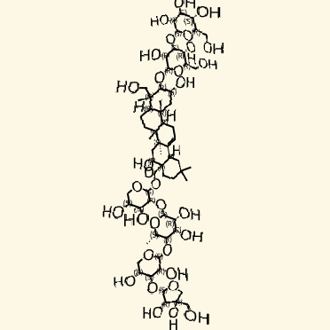 C[C@@H]1O[C@@H](O[C@H]2[C@H](OC(=O)[C@]34CCC(C)(C)C[C@H]3C3=CC[C@@H]5[C@@]6(C)C[C@H](O)[C@H](O[C@@H]7O[C@H](CO)[C@@H](O)[C@H](O[C@@H]8O[C@H](CO)[C@@H](O)[C@H](O)[C@H]8O)[C@H]7O)[C@@](C)(CO)[C@@H]6CC[C@@]5(C)[C@]3(C)C[C@H]4O)OC[C@H](O)[C@@H]2O)[C@H](O)[C@H](O)[C@H]1O[C@@H]1OC[C@@H](O)[C@H](O[C@@H]2OC[C@](O)(CO)[C@H]2O)[C@H]1O